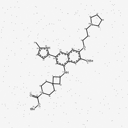 COc1cc2c(NC3CC4(CCN(C(=O)OC(C)(C)C)CC4)C3)cc(-c3ccc(C)[nH]3)nc2cc1OCCCN1CCCC1